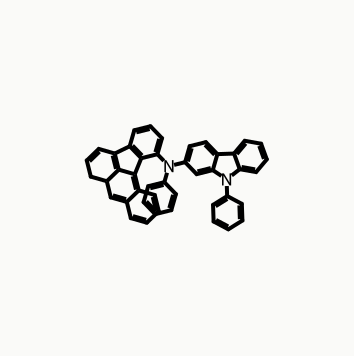 C1=CC2=C3C(=c4ccccc4=CC3C1)c1c2cccc1N(c1ccccc1)c1ccc2c3ccccc3n(-c3ccccc3)c2c1